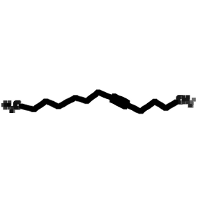 [CH2]CCCC#CCCCCCC[CH2]